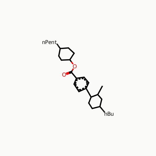 CCCCCC1CCC(OC(=O)c2ccc(C3CCC(CCCC)CC3C)cc2)CC1